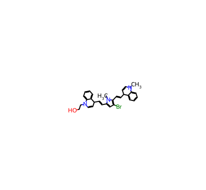 CN1C=CC(C=Cc2c(Br)cc(C=CC3C=CN(CCO)c4ccccc43)n2C)c2ccccc21